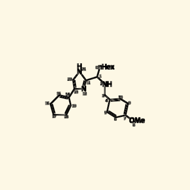 CCCCCCC(NCc1ccc(OC)cc1)c1nc(-c2ccccc2)c[nH]1